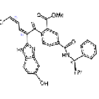 C=C(/C(=C\C=C/Cl)c1nc2cc(O)ccc2[nH]1)c1ccc(C(=O)N[C@H](CCC)c2ccccc2)cc1C(=O)OC